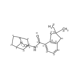 CN1C2CCC1CC(NC(=O)c1cccc3c1SC(C)(C)C3)C2